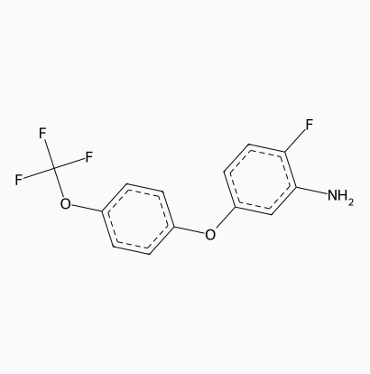 Nc1cc(Oc2ccc(OC(F)(F)F)cc2)ccc1F